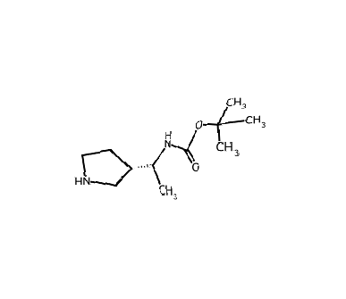 CC(NC(=O)OC(C)(C)C)[C@H]1CCNC1